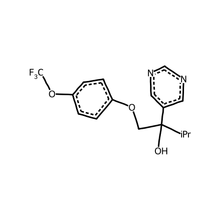 CC(C)C(O)(COc1ccc(OC(F)(F)F)cc1)c1cncnc1